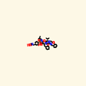 CC(C)CN(C[C@@H](O)[C@H](Cc1ccccc1)NC(=O)[C@H](C(C)C)N1CC(=O)N(Cc2ccccc2)C1=O)S(=O)(=O)c1ccc(C=NO)cc1